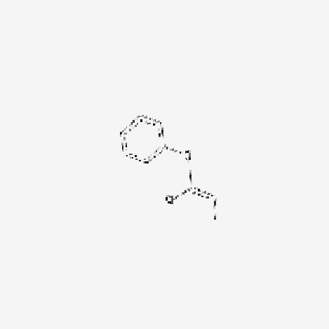 CC=C(Cl)Oc1c[c]ccc1